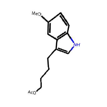 COc1ccc2[nH]cc(CCCCOC(C)=O)c2c1